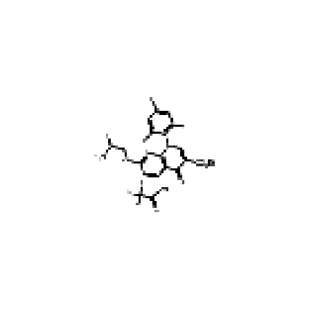 CCOC(=O)c1cn(-c2c(F)cc(F)cc2F)c2nc(NCC(C)N)ccc2c1=O.O=C(O)C(F)(F)F